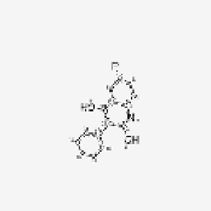 Oc1nc2ccc(F)cc2c(O)c1-c1ccccc1